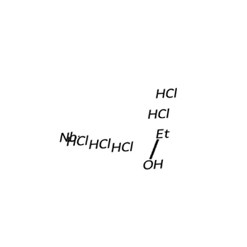 CCO.Cl.Cl.Cl.Cl.Cl.[Nb]